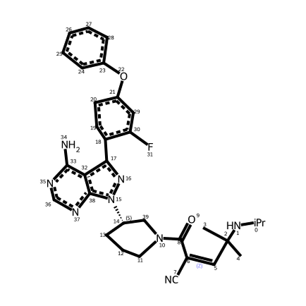 CC(C)NC(C)(C)/C=C(/C#N)C(=O)N1CCC[C@H](n2nc(-c3ccc(Oc4ccccc4)cc3F)c3c(N)ncnc32)C1